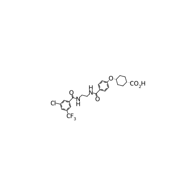 O=C(NCCNC(=O)c1cc(Cl)cc(C(F)(F)F)c1)c1ccc(O[C@H]2CC[C@@H](C(=O)O)CC2)cc1